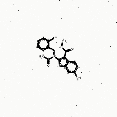 COC(=O)c1c(N(Cc2ccccc2F)C(C)=O)sc2cc(O)ccc12